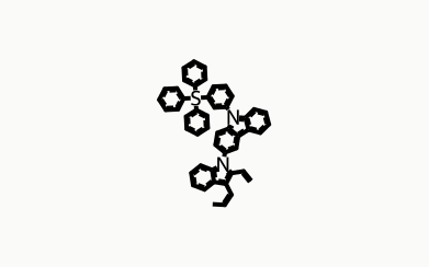 C=Cc1c(/C=C\C)c2ccccc2n1-c1ccc2c(c1)c1ccccc1n2-c1cccc(S(c2ccccc2)(c2ccccc2)c2ccccc2)c1